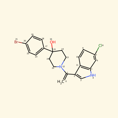 C=C(c1c[nH]c2cc(Cl)ccc12)N1CCC(O)(c2ccc(Br)cc2)CC1